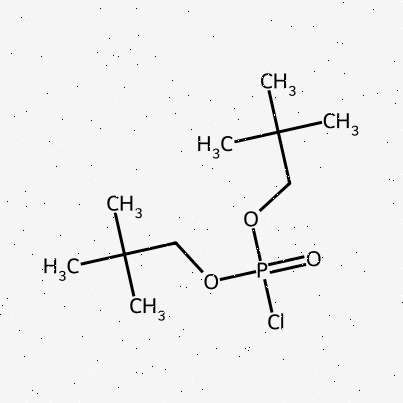 CC(C)(C)COP(=O)(Cl)OCC(C)(C)C